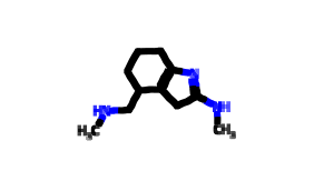 CNCC1CCCC2=C1CC(NC)=N2